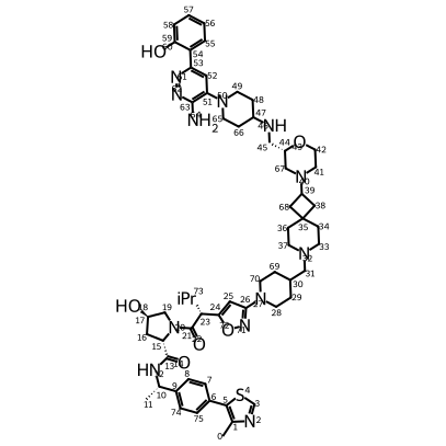 Cc1ncsc1-c1ccc([C@H](C)NC(=O)[C@@H]2C[C@@H](O)CN2C(=O)[C@@H](c2cc(N3CCC(CN4CCC5(CC4)CC(N4CCO[C@@H](CNC6CCN(c7cc(-c8ccccc8O)nnc7N)CC6)C4)C5)CC3)no2)C(C)C)cc1